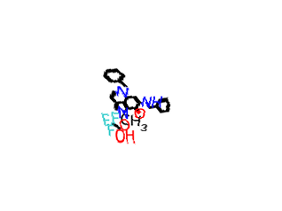 Cn1cc2c3c1C(=O)C(NCc1ccccc1)=CC3N(Cc1ccccc1)C=C2.O=C(O)C(F)(F)F